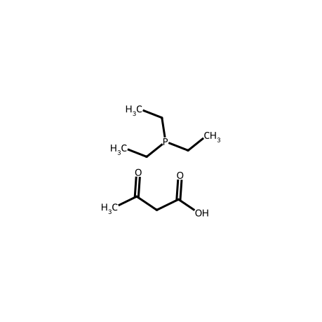 CC(=O)CC(=O)O.CCP(CC)CC